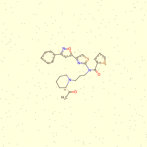 CC(=O)[C@@H]1CCCCN1CCCN(C(=O)c1cccs1)c1nc(-c2cc(-c3ccccc3)no2)cs1